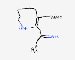 CNC1=C(C(C)=N)NCCC1